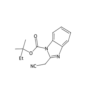 CCC(C)(C)OC(=O)n1c(CC#N)nc2ccccc21